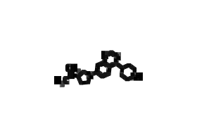 CN(C)[C@@H]1CCN(c2ccc3c(C4CCNCC4)ncnc3c2)C1